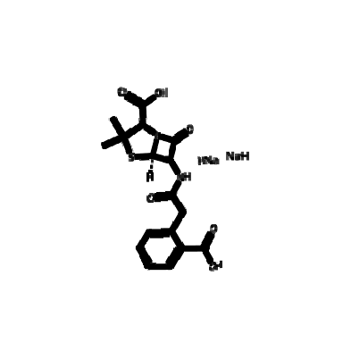 CC1(C)S[C@@H]2C(NC(=O)Cc3ccccc3C(=O)O)C(=O)N2C1C(=O)O.[NaH].[NaH]